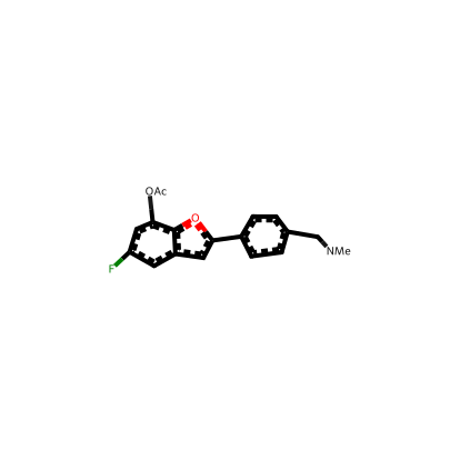 CNCc1ccc(-c2cc3cc(F)cc(OC(C)=O)c3o2)cc1